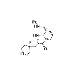 CC(C)N/C=C1/C=CC=C(C(=O)NCC2(F)CCNCC2)C1=N